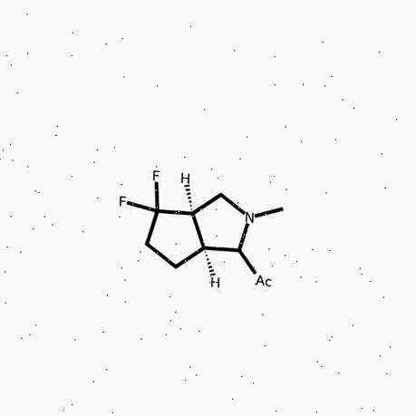 CC(=O)C1[C@H]2CCC(F)(F)[C@H]2CN1C